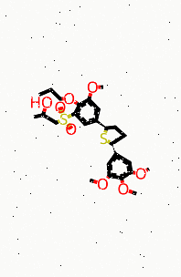 CCCOc1c(OC)cc([C@H]2CC[C@H](c3cc(OC)c(OC)c(OC)c3)S2)cc1S(=O)(=O)CC(C)O